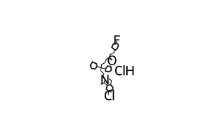 CC1c2cc(Cl)ccc2CCN1CCCC(CCCC(=O)CCc1ccc(F)cc1)(c1ccccc1)c1ccccc1.Cl